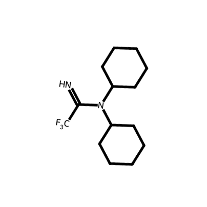 N=C(N(C1CCCCC1)C1CCCCC1)C(F)(F)F